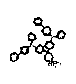 C[N+]1(C)CCC(c2ccc(N(c3ccccc3)c3ccc(-c4ccccc4)cc3)cc2)(c2ccc(N(c3ccccc3)c3ccc(-c4ccccc4)cc3)cc2)CC1